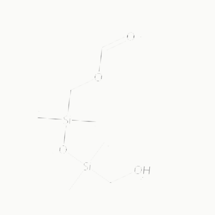 C[Si](C)(CO)O[Si](C)(C)COC=O